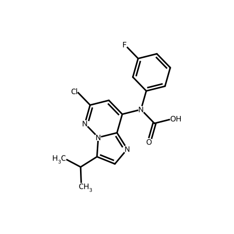 CC(C)c1cnc2c(N(C(=O)O)c3cccc(F)c3)cc(Cl)nn12